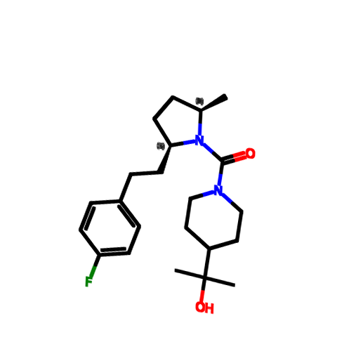 C[C@@H]1CC[C@H](CCc2ccc(F)cc2)N1C(=O)N1CCC(C(C)(C)O)CC1